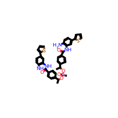 CC(OP(C)(=O)OC(C)c1ccc(C(=O)Nc2cc(-c3cccs3)ccc2N)cc1)c1ccc(C(=O)Nc2cc(-c3cccs3)ccc2N)cc1